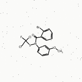 COc1cccc(N(SC(F)(Cl)Cl)C(=O)c2ccccc2Br)c1